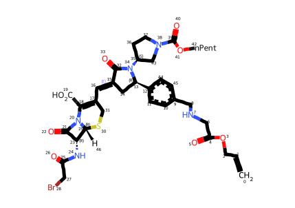 C=CCOC(=O)CNCc1ccc([C@H]2C/C(=C\C3=C(C(=O)O)N4C(=O)[C@@H](NC(=O)CBr)[C@H]4SC3)C(=O)N2[C@H]2CCN(C(=O)OCCCCC)C2)cc1